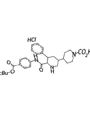 CC(C)(C)OC(=O)c1ccc(NC(=O)C2NCC(C3CCN(C(=O)O)CC3)CC2c2ccccc2)cc1.Cl